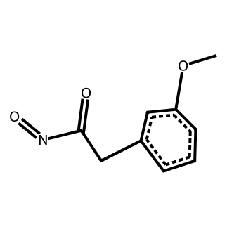 COc1cccc(CC(=O)N=O)c1